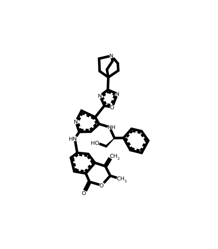 C=C1c2cc(Nc3cc(N[C@H](CO)c4ccccc4)c(-c4nc(C56CCN(CC5)CC6)no4)cn3)ccc2C(=O)OC1C